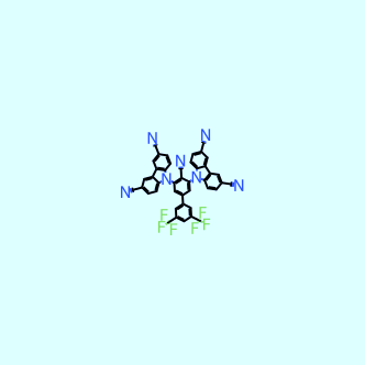 N#Cc1ccc2c(c1)c1cc(C#N)ccc1n2-c1cc(-c2cc(C(F)(F)F)cc(C(F)(F)F)c2)cc(-n2c3ccc(C#N)cc3c3cc(C#N)ccc32)c1C#N